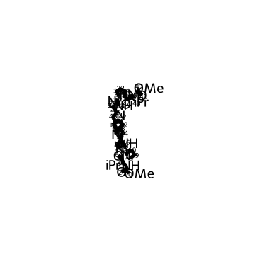 COC(=O)N[C@H](C(=O)N1CCC[C@H]1c1ncc(C2=Nc3cc4c(cc3C2)N=C(c2cnc([C@@H]3CCCN3C(=O)[C@@H](NC(=O)OC)C(C)C)[nH]2)C4)[nH]1)C(C)C